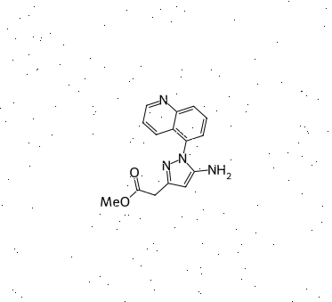 COC(=O)Cc1cc(N)n(-c2cccc3ncccc23)n1